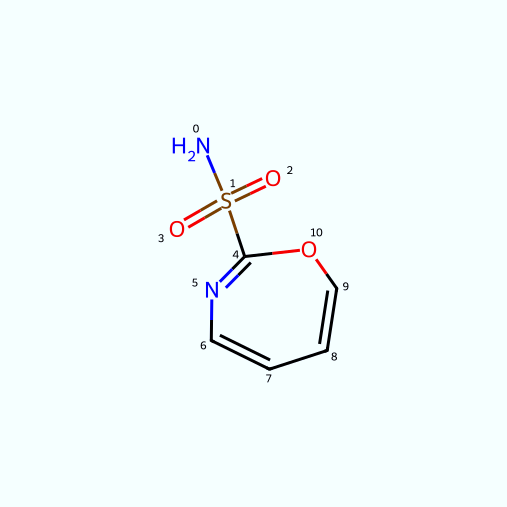 NS(=O)(=O)C1=NC=CC=CO1